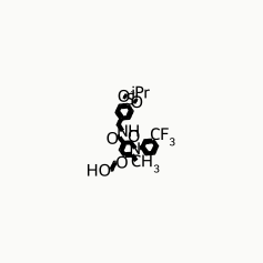 Cc1c(OCCO)cc(C(=O)NCc2ccc(S(=O)(=O)C(C)C)cc2)c(=O)n1-c1cccc(C(F)(F)F)c1